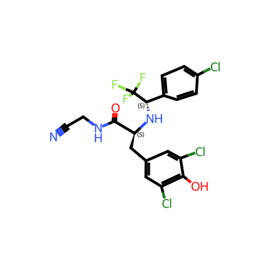 N#CCNC(=O)[C@H](Cc1cc(Cl)c(O)c(Cl)c1)N[C@@H](c1ccc(Cl)cc1)C(F)(F)F